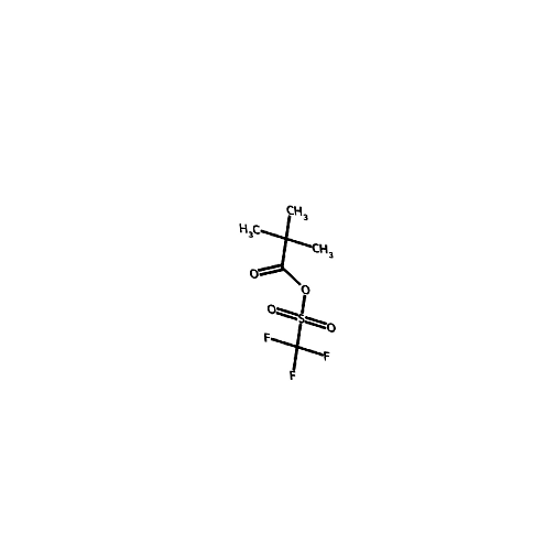 CC(C)(C)C(=O)OS(=O)(=O)C(F)(F)F